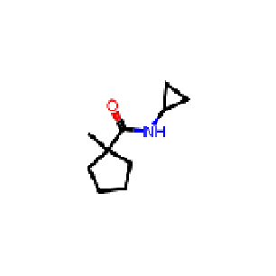 CC1(C(=O)NC2CC2)CCCC1